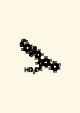 CC(C)Oc1ccc(S(=O)(=O)N2CCC(c3cn(CC(=O)O)c4cc(-c5ccccn5)ccc34)C2)cc1